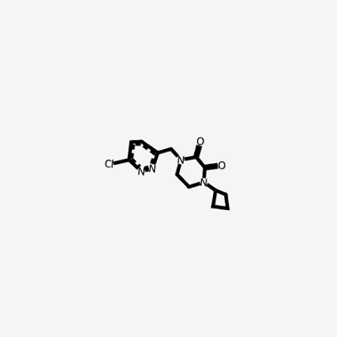 O=C1C(=O)N(C2CCC2)CCN1Cc1ccc(Cl)nn1